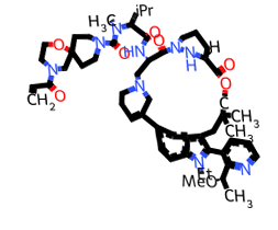 C=CC(=O)N1CCOC2(CCN(C(=O)N(C)C(C(=O)N[C@H]3CN4CCC=C(C4)c4ccc5c(c4)c(c(-c4cccnc4[C@H](C)OC)n5CC)CC(C)(C)COC(=O)[C@@H]4CCCN(N4)C3=O)C(C)C)CC2)C1